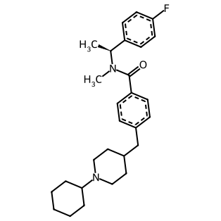 C[C@@H](c1ccc(F)cc1)N(C)C(=O)c1ccc(CC2CCN(C3CCCCC3)CC2)cc1